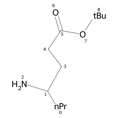 CCCC(N)CCC(=O)OC(C)(C)C